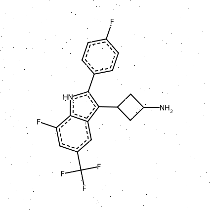 NC1CC(c2c(-c3ccc(F)cc3)[nH]c3c(F)cc(C(F)(F)F)cc23)C1